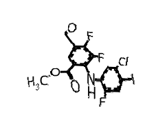 COC(=O)c1cc(C=O)c(F)c(F)c1Nc1cc(Cl)c(I)cc1F